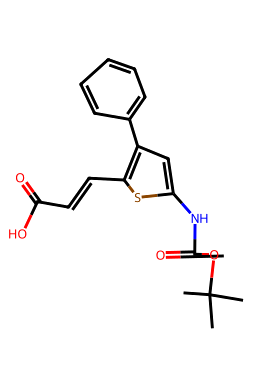 CC(C)(C)OC(=O)Nc1cc(-c2ccccc2)c(C=CC(=O)O)s1